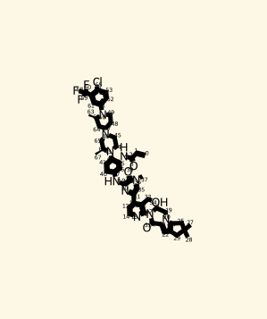 C=CC(=O)Nc1cc(Nc2nc(-c3ccnc(N4CCn5c(cc6c5CC(C)(C)C6)C4=O)c3CO)cn(C)c2=O)ccc1N1CCN(C2CCN(c3ccc(Cl)c(C(F)(F)F)c3)[C@H](C)C2)C[C@@H]1C